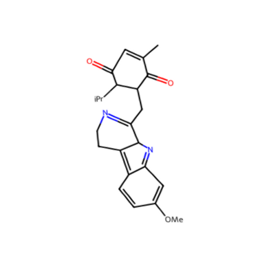 COc1ccc2c(c1)=NC1C(CC3C(=O)C(C)=CC(=O)C3C(C)C)=NCCC=21